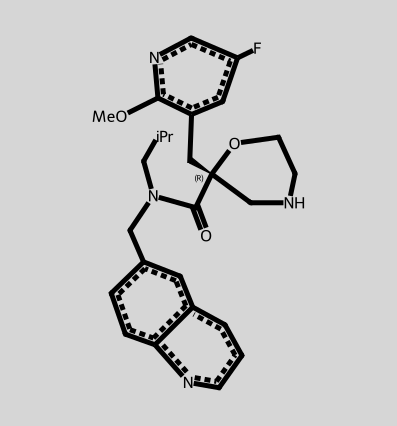 COc1ncc(F)cc1C[C@]1(C(=O)N(Cc2ccc3ncccc3c2)CC(C)C)CNCCO1